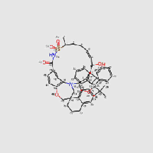 CC1CCC=CC(O)C2CCC2C(CO[Si](c2ccccc2)(c2ccccc2)C(C)(C)C)N2CC3(CCCc4ccccc43)COc3ccc(cc32)C(=O)NS1(=O)=O